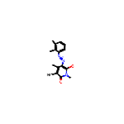 Cc1cccc(/N=N/c2c(C)c(C#N)c(=O)n(C)c2O)c1C